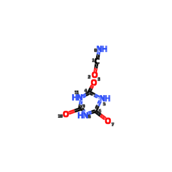 N=C=O.O=c1[nH]c(=O)[nH]c(=O)[nH]1